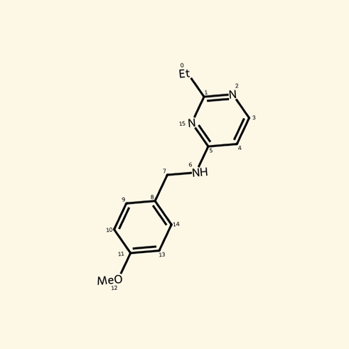 CCc1nccc(NCc2ccc(OC)cc2)n1